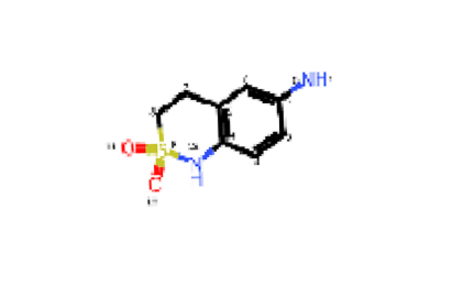 [NH]c1ccc2c(c1)CCS(=O)(=O)N2